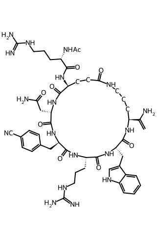 C=C(N)[C@@H]1CCCNC(=O)CC[C@H](NC(=O)[C@H](CCCNC(=N)N)NC(C)=O)C(=O)N[C@@H](CC(N)=O)C(=O)N[C@H](Cc2ccc(C#N)cc2)C(=O)N[C@@H](CCCNC(=N)N)C(=O)N[C@@H](Cc2c[nH]c3ccccc23)C(=O)N1